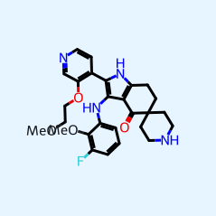 COCCOc1cnccc1-c1[nH]c2c(c1Nc1cccc(F)c1OC)C(=O)C1(CCNCC1)CC2